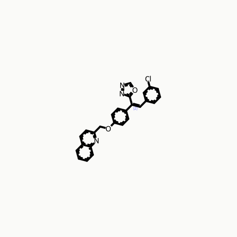 Clc1cccc(/C=C(/c2ccc(OCc3ccc4ccccc4n3)cc2)c2nnco2)c1